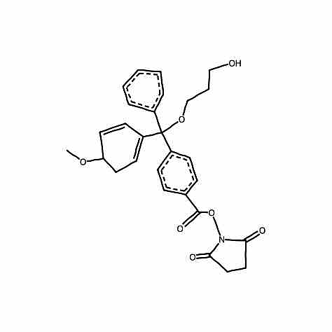 COC1C=CC(C(OCCCO)(c2ccccc2)c2ccc(C(=O)ON3C(=O)CCC3=O)cc2)=CC1